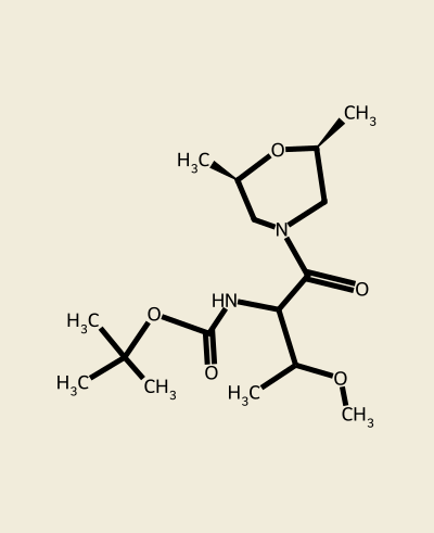 COC(C)C(NC(=O)OC(C)(C)C)C(=O)N1C[C@@H](C)O[C@@H](C)C1